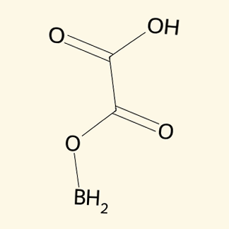 BOC(=O)C(=O)O